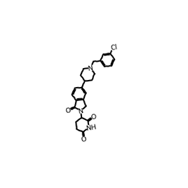 O=C1CCC(N2Cc3cc(C4CCN(Cc5cccc(Cl)c5)CC4)ccc3C2=O)C(=O)N1